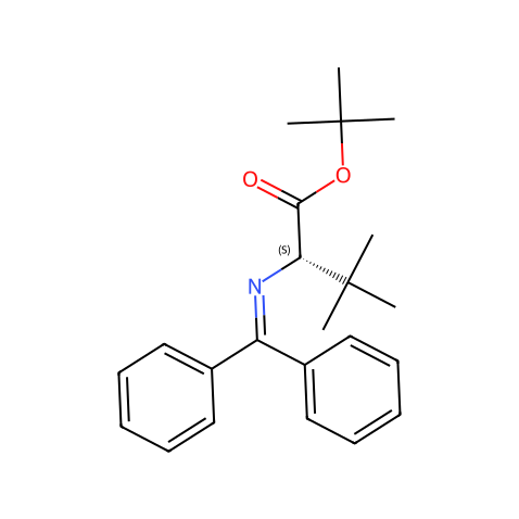 CC(C)(C)OC(=O)[C@@H](N=C(c1ccccc1)c1ccccc1)C(C)(C)C